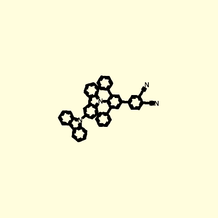 N#Cc1ccc(-c2cc(-c3ccccc3)c(-n3c4ccccc4c4cc(-n5c6ccccc6c6ccccc65)ccc43)c(-c3ccccc3)c2)cc1C#N